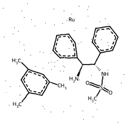 CS(=O)(=O)N[C@@H](c1ccccc1)[C@@H](N)c1ccccc1.Cc1cc(C)cc(C)c1.[Ru]